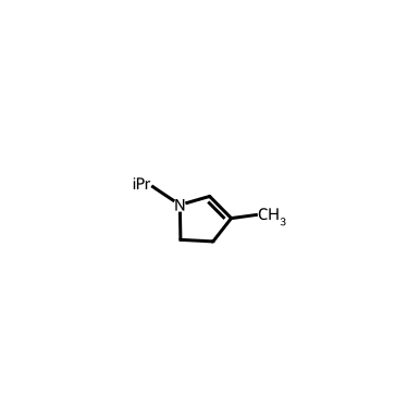 CC1=CN(C(C)C)CC1